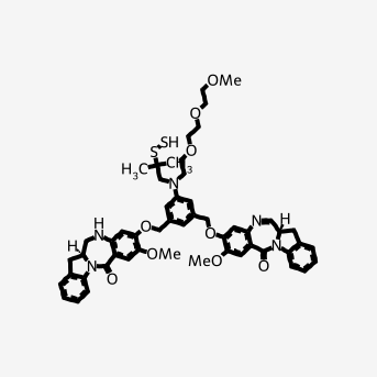 COCCOCCOCCN(CC(C)(C)SS)c1cc(COc2cc3c(cc2OC)C(=O)N2c4ccccc4C[C@H]2C=N3)cc(COc2cc3c(cc2OC)C(=O)N2c4ccccc4C[C@H]2CN3)c1